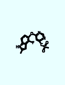 Cc1cc2c(F)c(Oc3cc(CS(C)(=O)=O)ncn3)ccc2[nH]1